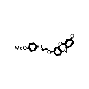 COc1ccc(OCCOc2ccc3nc4ccc(=O)cc-4oc3c2)cc1